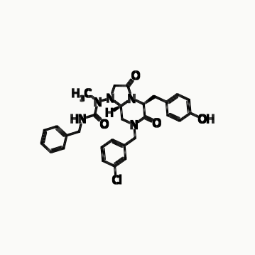 CN(C(=O)NCc1ccccc1)N1CC(=O)N2[C@@H](Cc3ccc(O)cc3)C(=O)N(Cc3cccc(Cl)c3)C[C@@H]21